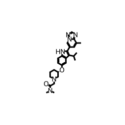 Cc1cc(-c2[nH]c3ccc(O[C@H]4CCCN(CC(=O)N(C)C)C4)cc3c2C(C)C)cn2ncnc12